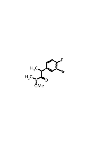 CON(C)C(=O)C(C)c1ccc(F)c(Br)c1